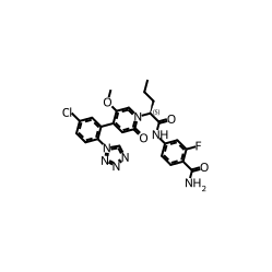 CCC[C@@H](C(=O)Nc1ccc(C(N)=O)c(F)c1)n1cc(OC)c(-c2cc(Cl)ccc2-n2cnnn2)cc1=O